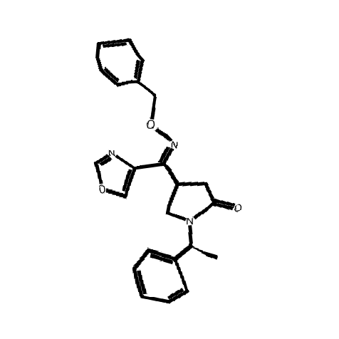 C[C@@H](c1ccccc1)N1CC(/C(=N/OCc2ccccc2)c2cocn2)CC1=O